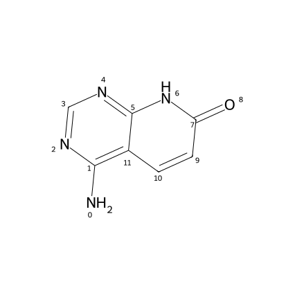 Nc1ncnc2[nH]c(=O)ccc12